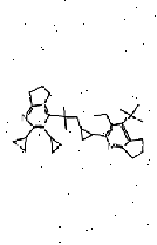 CCc1c(C2CC2CC(C)(C)c2c3c(nc(C4CC4)c2C2CC2)CCC3)nc2c(c1C(C)(C)C)CCC2